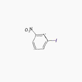 O=[N+]([O-])c1[c]c(I)c[c]c1